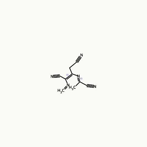 C=N/C(C#N)=C(CC#N)\N=C(/C)C#N